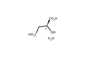 O.O=C(O)C[C@H](O)C(=O)O